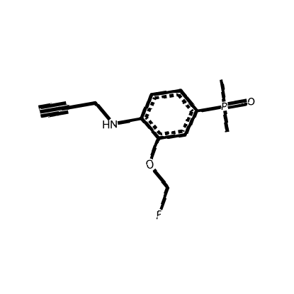 C#CCNc1ccc(P(C)(C)=O)cc1OCF